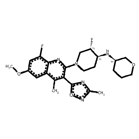 COc1cc(F)c2nc(N3CC[C@H](N[C@@H]4CCCOC4)[C@@H](F)C3)c(-c3nc(C)no3)c(C)c2c1